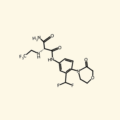 NC(=O)[C@@H](NCC(F)(F)F)C(=O)Nc1ccc(N2CCOCC2=O)c(C(F)F)c1